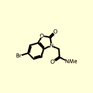 CNC(=O)Cn1c(=O)oc2cc(Br)ccc21